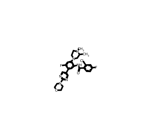 CC1CN(c2cc(F)c(-c3cnc(N4CCOCC4)nc3)cc2NC(=O)c2ccc(F)cc2Cl)CCN1C